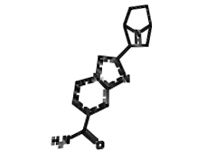 NC(=O)c1ccn2cc(C3CC4CCC3N4)nc2c1